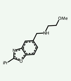 COCCNCc1ccc2oc(C(C)C)nc2c1